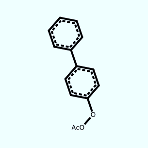 CC(=O)OOc1ccc(-c2ccccc2)cc1